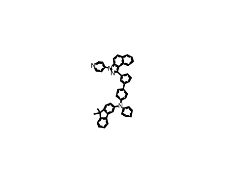 CC1(C)c2ccccc2-c2cc(N(c3ccccc3)c3ccc(-c4cccc(-c5nn(-c6ccncc6)c6ccc7ccccc7c56)c4)cc3)ccc21